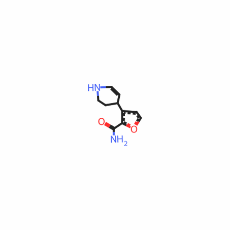 NC(=O)c1occc1C1C=CNCC1